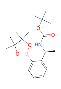 C[C@H](NC(=O)OC(C)(C)C)c1ccccc1B1OC(C)(C)C(C)(C)O1